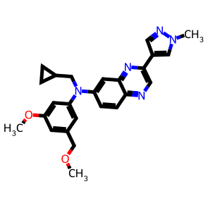 COCc1cc(OC)cc(N(CC2CC2)c2ccc3ncc(-c4cnn(C)c4)nc3c2)c1